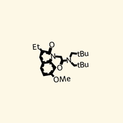 CCc1cc2ccc(OC)cc2n(CC(=O)N(CC(C)(C)C)CC(C)(C)C)c1=O